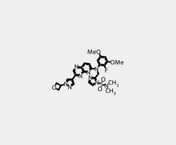 COc1cc(OC)c(F)c(N(Cc2nccn2S(=O)(=O)N(C)C)c2ccc3ncc(-c4cnn(C5COC5)c4)nc3n2)c1